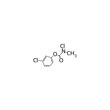 CN(Cl)C(=O)Oc1cccc(Cl)c1